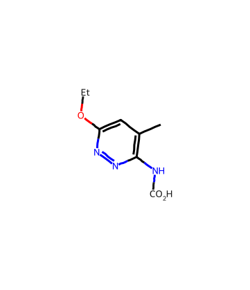 CCOc1cc(C)c(NC(=O)O)nn1